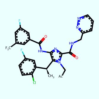 CC(=O)Cn1c(C(=O)NCc2cccnn2)nc(NC(=O)c2cc(F)cc(C(F)(F)F)c2)c1[C@@H](C)c1cc(F)ccc1Cl